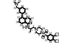 CC(CN1CCN(S(=O)(=O)c2ccc(Cl)c(Cl)c2)CC1)Nc1ncnc2c(-c3cccc(CN(C)C)c3)cccc12